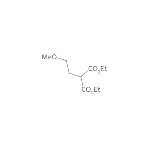 CCOC(=O)C(CCOC)C(=O)OCC